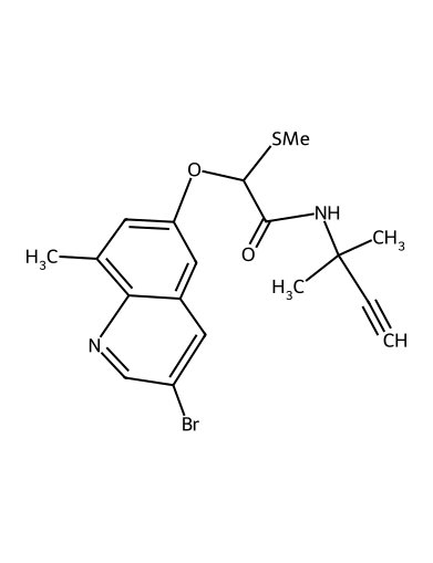 C#CC(C)(C)NC(=O)C(Oc1cc(C)c2ncc(Br)cc2c1)SC